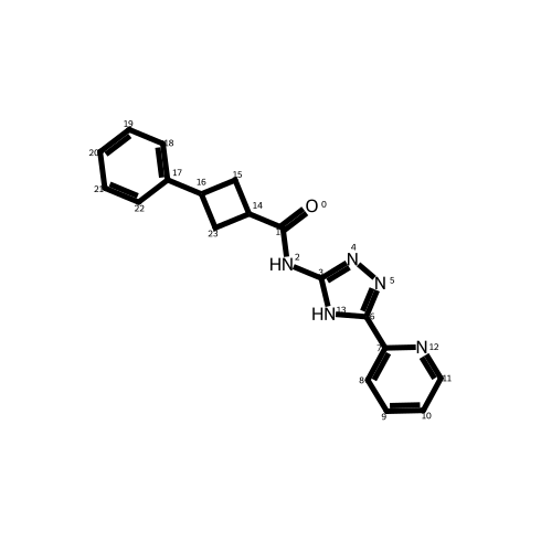 O=C(Nc1nnc(-c2ccccn2)[nH]1)C1CC(c2ccccc2)C1